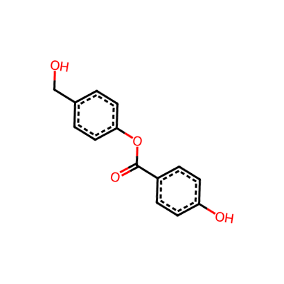 O=C(Oc1ccc(CO)cc1)c1ccc(O)cc1